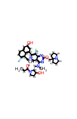 C#Cc1c(F)ccc2cc(O)cc(-c3ncc4c(N(C)C[C@@H]5C(O)CCN5C(=O)C=C)nc(OCC56CCCN5CCC6)nc4c3F)c12